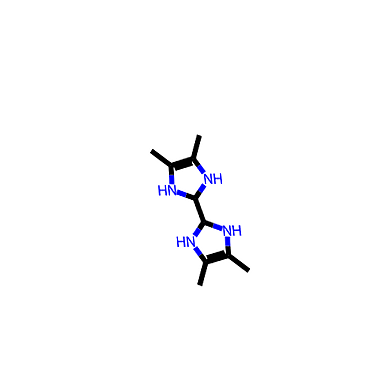 CC1=C(C)NC(C2NC(C)=C(C)N2)N1